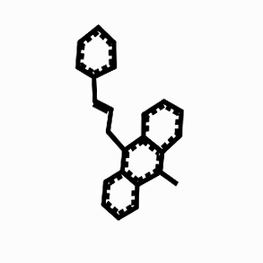 Cc1c2ccccc2c(CC=Cc2ccccc2)c2ccccc12